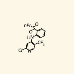 CCCS(=O)(=O)c1ccccc1Nc1cc(Cl)ncc1C(F)(F)F